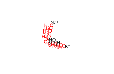 O.O.O.O.O.O.O.O.O.O.O=S(=O)([O-])O.O=[N+]([O-])[O-].[K+].[Na+]